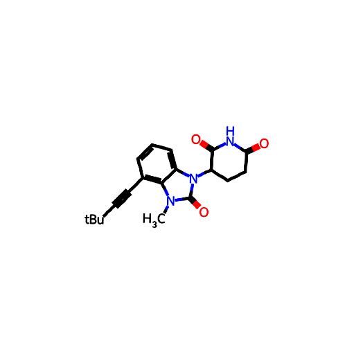 Cn1c(=O)n(C2CCC(=O)NC2=O)c2cccc(C#CC(C)(C)C)c21